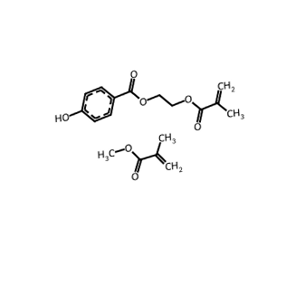 C=C(C)C(=O)OC.C=C(C)C(=O)OCCOC(=O)c1ccc(O)cc1